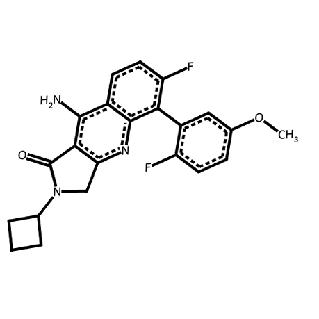 COc1ccc(F)c(-c2c(F)ccc3c(N)c4c(nc23)CN(C2CCC2)C4=O)c1